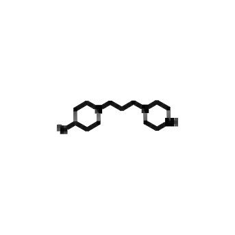 [2H]C1CCN(CCCN2CCNCC2)CC1